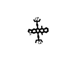 CCC(C#Cc1c2cc3ccsc3cc2c(C#CC(CC)(CC)OC)c2c(C)c3ccccc3c(C)c12)(CC)OC